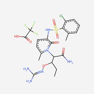 CCC(ON=C(N)N)C(C(N)=O)n1c(C)ccc(NS(=O)(=O)c2c(C)cccc2Cl)c1=O.O=C(O)C(F)(F)F